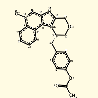 CC(=O)Oc1ccc(C[C@H]2COCc3nc4c[n+]([O-])c5ccccc5c4n32)cc1